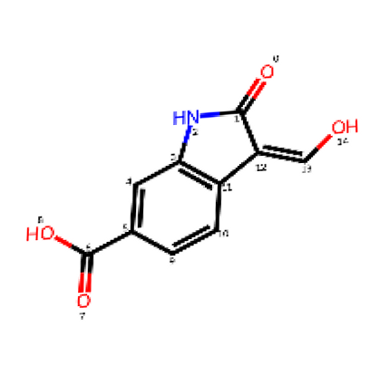 O=C1Nc2cc(C(=O)O)ccc2C1=CO